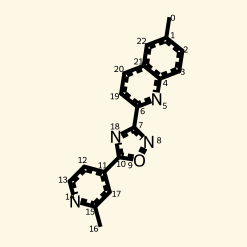 Cc1ccc2nc(-c3noc(-c4ccnc(C)c4)n3)ccc2c1